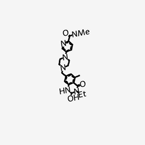 CCN1C(=O)c2c(C)cc(CN3CCN(c4ccc(C(=O)NC)nc4)CC3)cc2NC1O